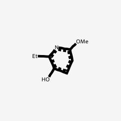 CCc1nc(OC)ccc1O